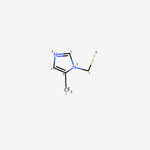 FCn1[c]n[c]c1C(F)(F)F